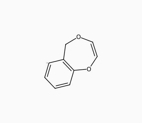 [c]1cccc2c1COC=CO2